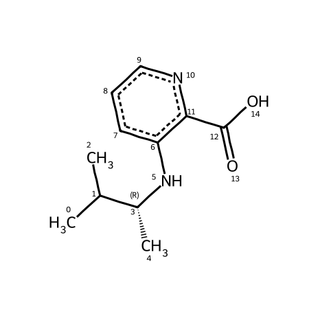 CC(C)[C@@H](C)Nc1cccnc1C(=O)O